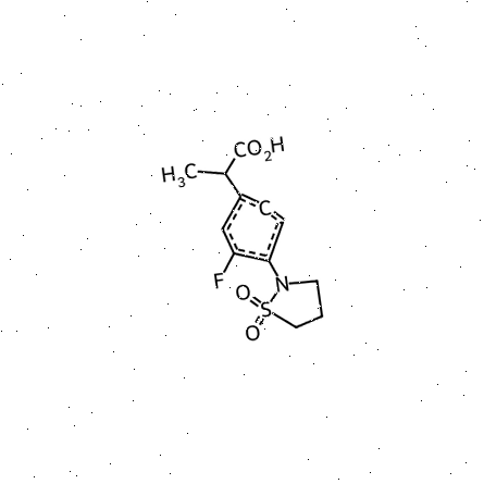 CC(C(=O)O)c1ccc(N2CCCS2(=O)=O)c(F)c1